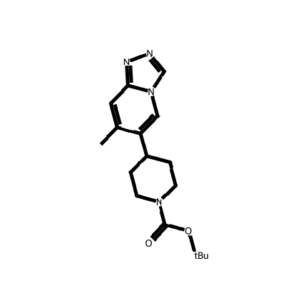 Cc1cc2nncn2cc1C1CCN(C(=O)OC(C)(C)C)CC1